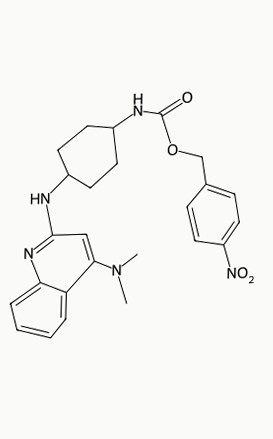 CN(C)c1cc(NC2CCC(NC(=O)OCc3ccc([N+](=O)[O-])cc3)CC2)nc2ccccc12